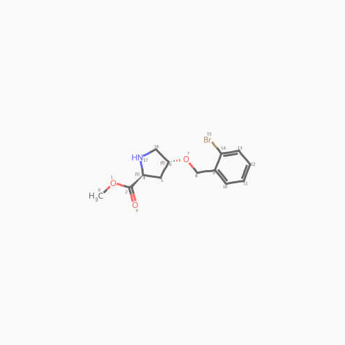 COC(=O)[C@@H]1C[C@@H](OCc2ccccc2Br)CN1